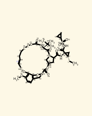 CC[C@H]1C[C@@]1(NC(=O)C1C[C@@H]2CN1C(=O)[C@H](C(C)(C)C)NC(=O)OCCCC/C=C/COc1c(OC)ccc3c1CN(C3)C(=O)O2)C(=O)NS(=O)(=O)C1CC1